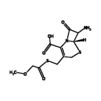 COCC(=O)SCC1=C(C(=O)O)N2C(=O)C(N)[C@@H]2SC1